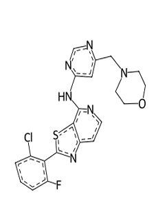 Fc1cccc(Cl)c1-c1nc2ccnc(Nc3cc(CN4CCOCC4)ncn3)c2s1